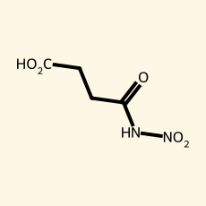 O=C(O)CCC(=O)N[N+](=O)[O-]